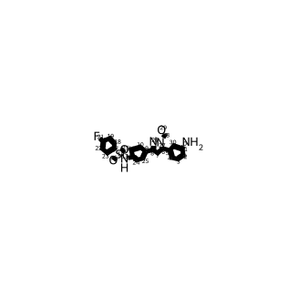 Nc1cccc(C2CC(c3ccc(NS(=O)(=O)c4ccc(F)cc4)cc3)=NN2C=O)c1